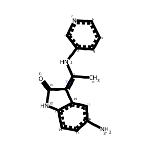 C/C(Nc1cccnc1)=C1/C(=O)Nc2ccc(N)cc21